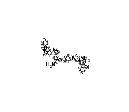 Cc1ccc(S(=O)(=O)n2ncc3ccc(-c4ncsc4-c4ccc(CN)c(OCCc5ccc(CN6CCN(c7cc(-c8ccccc8O)nnc7N)CC6)cc5)c4)cc32)cc1